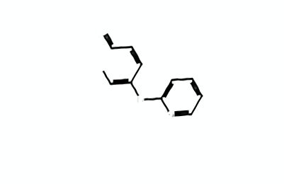 C=C/C=C\C(=C/C)Nc1ccccn1